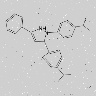 CC(C)c1ccc(C2C=C(c3ccccc3)NN2c2ccc(C(C)C)cc2)cc1